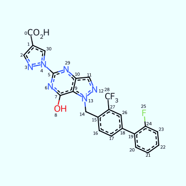 O=C(O)c1cnn(-c2nc(O)c3c(cnn3Cc3ccc(-c4ccccc4F)cc3C(F)(F)F)n2)c1